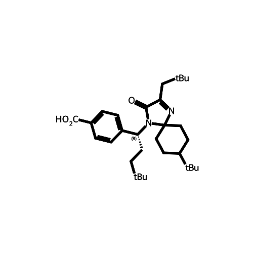 CC(C)(C)CC[C@H](c1ccc(C(=O)O)cc1)N1C(=O)C(CC(C)(C)C)=NC12CCC(C(C)(C)C)CC2